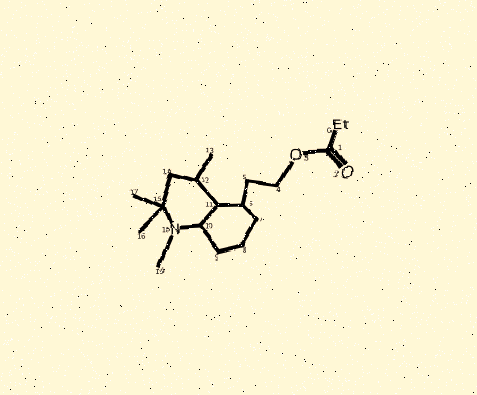 CCC(=O)OCCC1CCCC2C1C(C)CC(C)(C)N2C